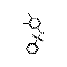 Cc1ccc(NS(=O)(=O)c2ccccc2)cc1C